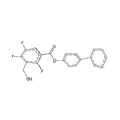 O=C(Oc1ccc(-c2ccccc2)cc1)c1cc(F)c(F)c(CO)c1F